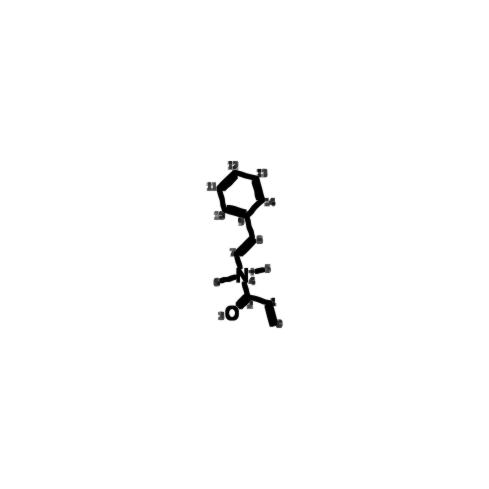 C=CC(=O)[N+](C)(C)C=Cc1ccccc1